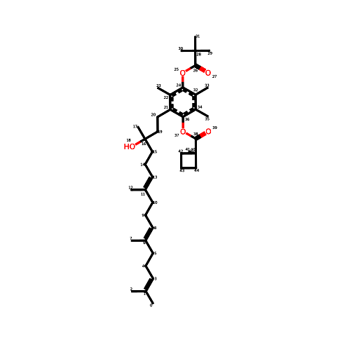 CC(C)=CCC/C(C)=C/CC/C(C)=C/CCC(C)(O)CCc1c(C)c(OC(=O)C(C)(C)C)c(C)c(C)c1OC(=O)C1(C)CCC1